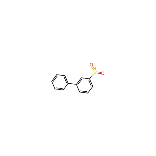 O=[SH](=O)c1cccc(-c2ccccc2)c1